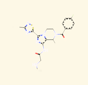 CNCC(=O)Nc1nc(-c2nc(C)ns2)n2c1C(C)N(C(=O)c1ccc(F)cc1)CC2